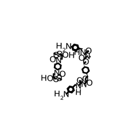 CN(C(=O)NCc1ccc(N)cc1)C(=O)OC[C@H]1CC[C@H](COC(=O)N(C)C(=O)NCc2ccc(N)cc2)CC1.COC(=O)N(CC(=O)O)[C@H]1CC[C@H](N(CC(=O)O)C(=O)OC)CC1